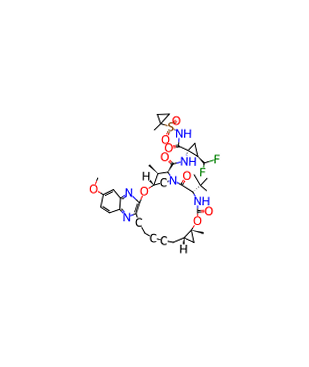 COc1ccc2nc3c(nc2c1)O[C@H]1CN(C(=O)[C@H](C(C)(C)C)NC(=O)O[C@]2(C)C[C@@H]2CCCCC3)[C@H](C(=O)N[C@]2(C(=O)NS(=O)(=O)C3(C)CC3)C[C@H]2C(F)F)[C@@H]1C